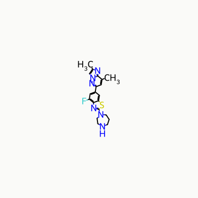 Cc1cn2nc(-c3cc(F)c4nc(N5CCCNCC5)sc4c3)cc(C)c2n1